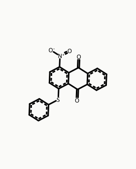 O=C1c2ccccc2C(=O)c2c([N+](=O)[O-])ccc(Sc3ccccc3)c21